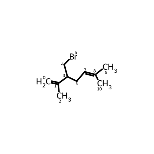 C=C(C)C(CBr)CC=C(C)C